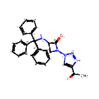 COC(=O)c1cn(N2CC(NC(c3ccccc3)(c3ccccc3)c3ccccc3)C2=O)nn1